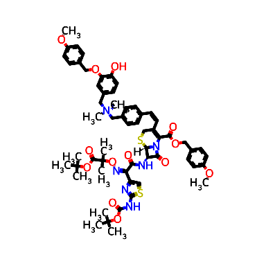 COc1ccc(COC(=O)C2=C(/C=C\c3ccc(C[N+](C)(C)Cc4ccc(O)c(OCc5ccc(OC)cc5)c4)cc3)CS[C@@H]3[C@H](NC(=O)/C(=N\OC(C)(C)C(=O)OC(C)(C)C)c4csc(NC(=O)OC(C)(C)C)n4)C(=O)N23)cc1